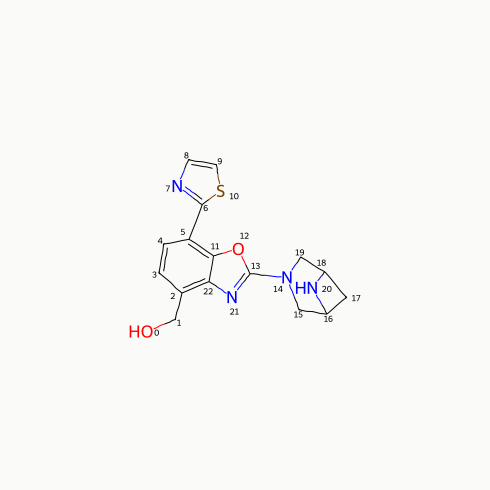 OCc1ccc(-c2nccs2)c2oc(N3CC4CC(C3)N4)nc12